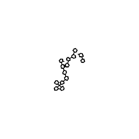 c1ccc(-c2cccc(-n3c4ccccc4c4cc(-c5ccc6c(c5)c5ccccc5n6-c5ccccc5-c5ccc(-c6ccc(-c7cccc(-c8ccc(C9(c%10ccccc%10)c%10ccccc%10-c%10ccccc%109)cc8)c7)cc6)cc5)ccc43)c2)cc1